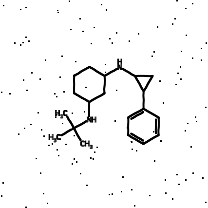 CC(C)(C)NC1CCCC(NC2CC2c2ccccc2)C1